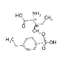 CC[C@@H](C)[C@@H](N)C(=O)O.CCc1ccc(S(=O)(=O)O)cc1